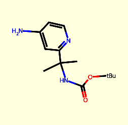 CC(C)(C)OC(=O)NC(C)(C)c1cc(N)ccn1